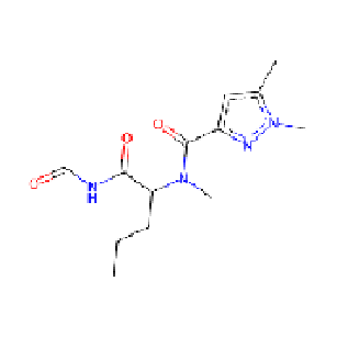 CCCC(C(=O)NC=O)N(C)C(=O)c1cc(C)n(C)n1